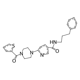 O=C(NCCCc1ccccc1)c1ccc(N2CCN(C(=O)c3cccs3)CC2)nc1